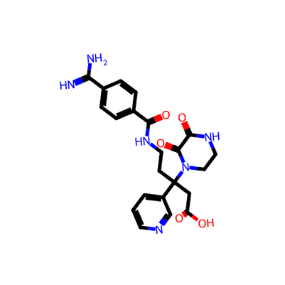 N=C(N)c1ccc(C(=O)NCCC(CC(=O)O)(c2cccnc2)N2CCNC(=O)C2=O)cc1